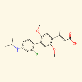 COc1cc(-c2ccc(NC(C)C)cc2F)c(OC)cc1/C(C)=C/C(=O)O